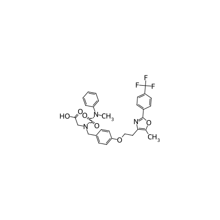 Cc1oc(-c2ccc(C(F)(F)F)cc2)nc1CCOc1ccc(CN(CC(=O)O)S(=O)(=O)N(C)c2ccccc2)cc1